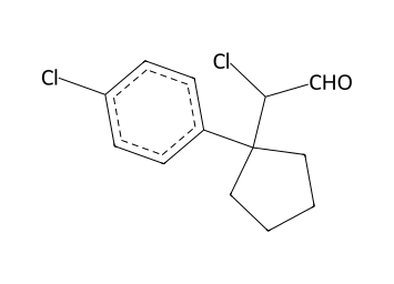 O=CC(Cl)C1(c2ccc(Cl)cc2)CCCC1